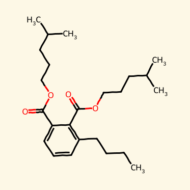 CCCCc1cccc(C(=O)OCCCC(C)C)c1C(=O)OCCCC(C)C